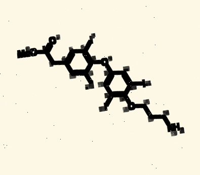 COC(=O)Cc1cc(I)c(Oc2cc(I)c(OCCCN)c(I)c2)c(I)c1